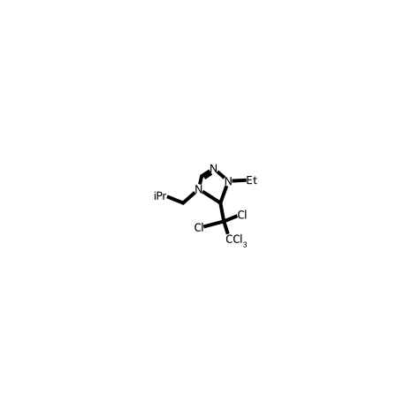 CCN1N=CN(CC(C)C)C1C(Cl)(Cl)C(Cl)(Cl)Cl